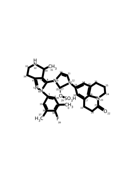 Cc1cc(-n2nc3c(c2N2C=CN(c4cc5c6c(c4)CCC(=O)N6CCC5)[C@@H]2OS(=O)(=O)O)C(C)NCC3)cc(C)c1F